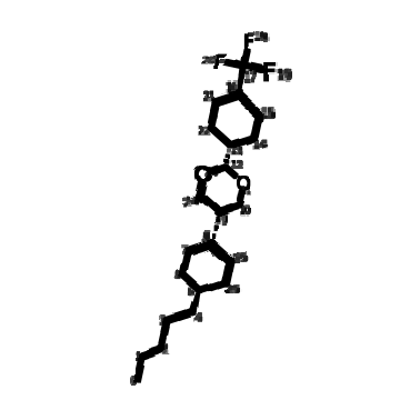 CCCCC[C@H]1CC[C@H](C2COC([C@H]3CC[C@H](C(F)(F)F)CC3)OC2)CC1